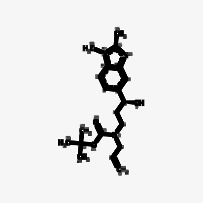 C=CCN(CC[C@H](O)c1ccc2c(c1)nc(C)n2C)C(=O)OC(C)(C)C